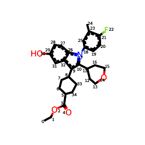 CCOC(=O)C1CCC(c2c(C3CCOCC3)n(-c3ccc(F)c(C)c3)c3ccc(O)cc23)CC1